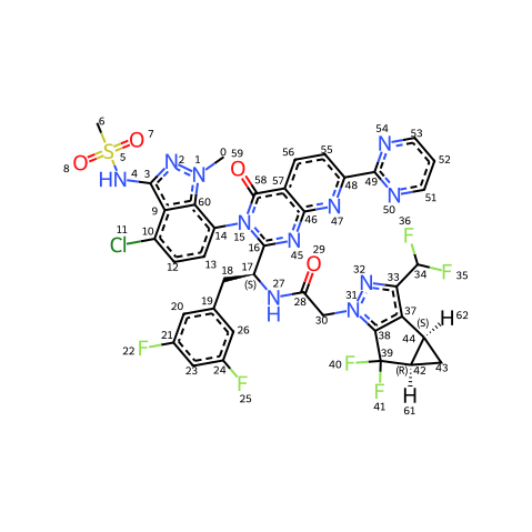 Cn1nc(NS(C)(=O)=O)c2c(Cl)ccc(-n3c([C@H](Cc4cc(F)cc(F)c4)NC(=O)Cn4nc(C(F)F)c5c4C(F)(F)[C@@H]4C[C@H]54)nc4nc(-c5ncccn5)ccc4c3=O)c21